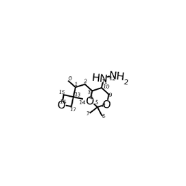 CC(CC1OC(C)(C)OCC1NN)C1(C)COC1